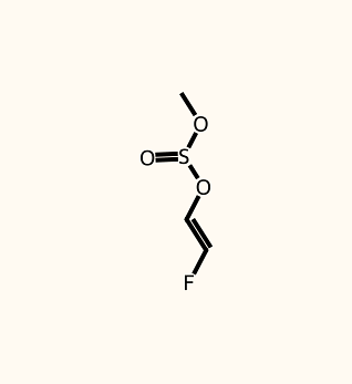 COS(=O)OC=CF